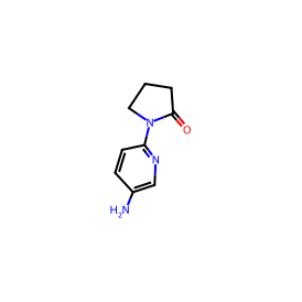 Nc1ccc(N2CCCC2=O)nc1